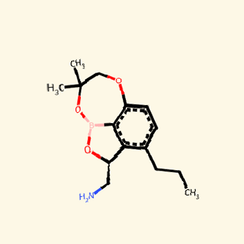 CCCc1ccc2c3c1[C@@H](CN)OB3OC(C)(C)CO2